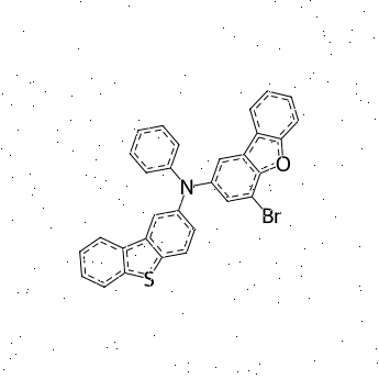 Brc1cc(N(c2ccccc2)c2ccc3sc4ccccc4c3c2)cc2c1oc1ccccc12